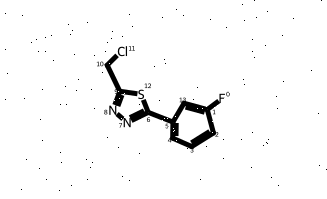 Fc1cccc(-c2nnc(CCl)s2)c1